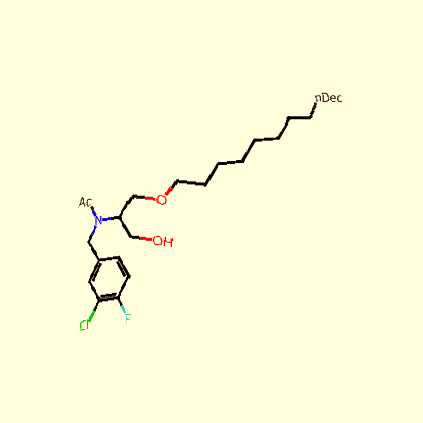 CCCCCCCCCCCCCCCCCCOCC(CO)N(Cc1ccc(F)c(Cl)c1)C(C)=O